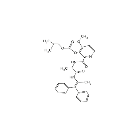 COc1ccnc(C(=O)N[C@@H](C)C(=O)NC(C)=C(c2ccccc2)c2ccccc2)c1OC(=O)OCC(C)C